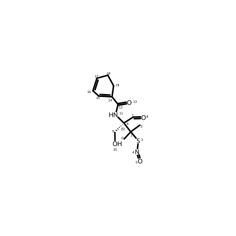 CC(C)(SN=O)[C@@](C=O)(CO)NC(=O)C1=CC=CCC1